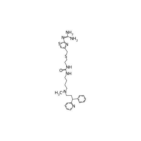 CN(CCCCNC(=O)NCCSCc1csc(N=C(N)N)n1)CCC(c1ccccc1)c1ccccn1